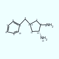 NC1CN(Cc2ccccc2)C[C@H]1N